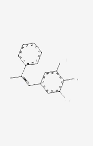 CCCc1c(O)cc(/C=C(/C)c2ccccc2)cc1O